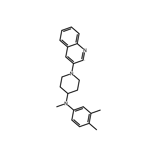 Cc1ccc(N(C)C2CCN(c3[c]nc4ccccc4c3)CC2)cc1C